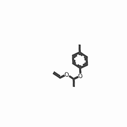 C=COC(C)Oc1ccc(C)cc1